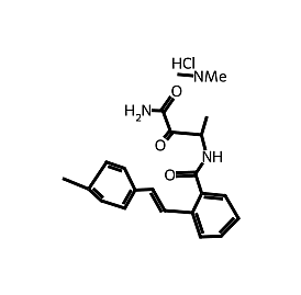 CNC.Cc1ccc(C=Cc2ccccc2C(=O)NC(C)C(=O)C(N)=O)cc1.Cl